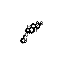 CN1C(=O)CC[C@@]2(C)C1CC[C@@H]1[C@H]2CC[C@]2(C)C(OCc3ccccn3)CC[C@@H]12